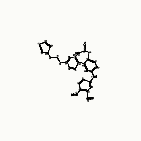 COc1ccc(Nc2ncc3c(n2)-c2ccc(CCCn4cccc4)cc2NC(=O)C3)cc1OC